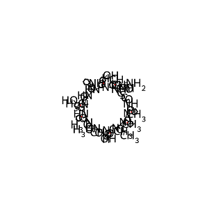 CCCC[C@H]1C(=O)N(C)CC(=O)N[C@@H](CC(=O)O)C(=O)N[C@@H](C(C)C)C(=O)N(C)[C@@H](Cc2ccccc2)C(=O)N[C@H](Cc2ccc(O)cc2)C(=O)N(C)CC(=O)N[C@@H](Cc2c[nH]c3ccccc23)C(=O)N[C@H](Cc2ccc(O)cc2)C(=O)N[C@@H](CC(C)C)C(=O)N[C@H](C(=O)NCC(N)=O)CSCC(=O)N[C@@H](Cc2ccccc2)C(=O)N(C)[C@@H](Cc2ccccc2)C(=O)N1C